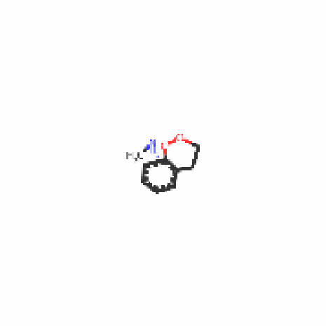 CN.c1ccc2c(c1)CCOO2